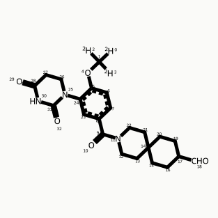 [2H]C([2H])([2H])Oc1ccc(C(=O)N2CCC3(CCC(C=O)CC3)CC2)cc1N1CCC(=O)NC1=O